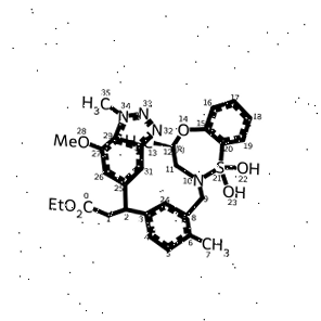 CCOC(=O)CC(c1ccc(C)c(CN2C[C@@H](C)Oc3ccccc3S2(O)O)c1)c1cc(OC)c2c(c1)nnn2C